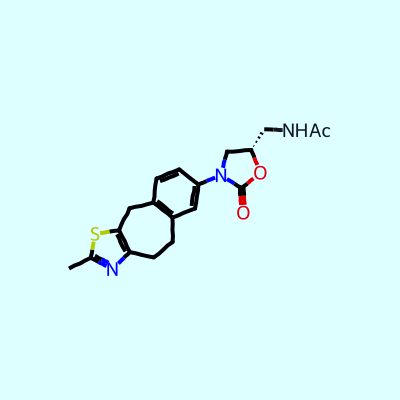 CC(=O)NC[C@H]1CN(c2ccc3c(c2)CCc2nc(C)sc2C3)C(=O)O1